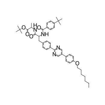 CCCCCCCOc1ccc(-c2cnc(-c3ccc(CC(NC(=O)c4ccc(C(C)(C)C)cc4)C(=O)NC(C)C(=O)OC(C)(C)C)cc3)nc2)cc1